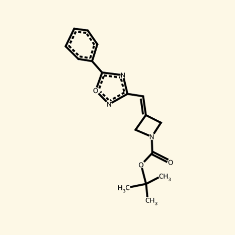 CC(C)(C)OC(=O)N1CC(=Cc2noc(-c3ccccc3)n2)C1